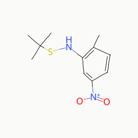 Cc1ccc([N+](=O)[O-])cc1NSC(C)(C)C